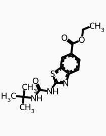 CCOC(=O)c1ccc2nc(NC(=O)NC(C)(C)C)sc2c1